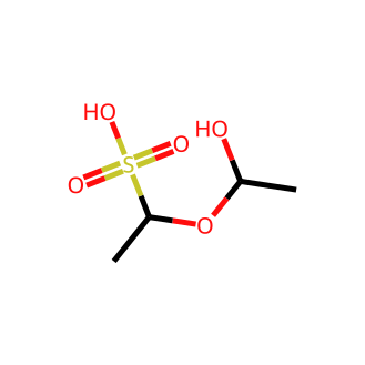 CC(O)OC(C)S(=O)(=O)O